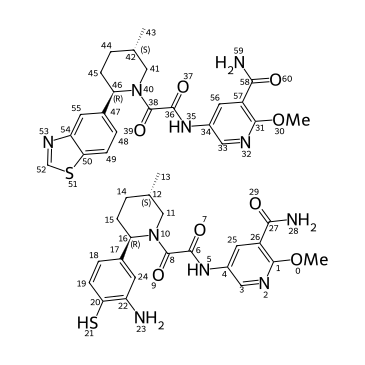 COc1ncc(NC(=O)C(=O)N2C[C@@H](C)CC[C@@H]2c2ccc(S)c(N)c2)cc1C(N)=O.COc1ncc(NC(=O)C(=O)N2C[C@@H](C)CC[C@@H]2c2ccc3scnc3c2)cc1C(N)=O